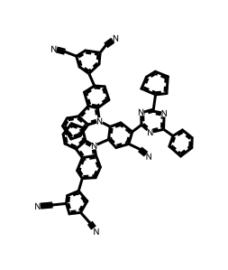 N#Cc1cc(C#N)cc(-c2ccc3c(c2)c2ccccc2n3-c2cc(C#N)c(-c3nc(-c4ccccc4)nc(-c4ccccc4)n3)cc2-n2c3ccccc3c3cc(-c4cc(C#N)cc(C#N)c4)ccc32)c1